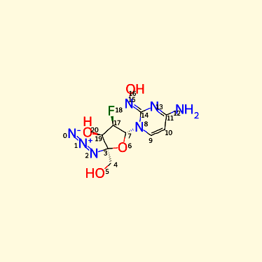 [N-]=[N+]=N[C@]1(CO)O[C@@H](n2ccc(N)n/c2=N\O)[C@H](F)[C@@H]1O